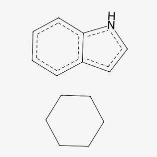 C1CCCCC1.c1ccc2[nH]ccc2c1